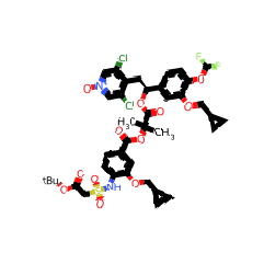 CC(C)(C)OC(=O)CS(=O)(=O)Nc1ccc(C(=O)OC(C)(C)C(=O)O[C@@H](Cc2c(Cl)c[n+]([O-])cc2Cl)c2ccc(OC(F)F)c(OCC3CC3)c2)cc1OCC1CC1